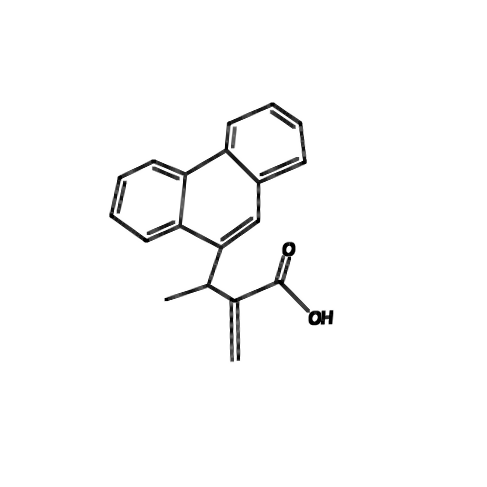 C=C(C(=O)O)C(C)c1cc2ccccc2c2ccccc12